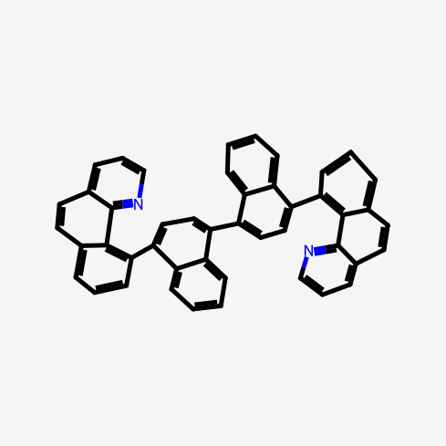 c1cnc2c(c1)ccc1cccc(-c3ccc(-c4ccc(-c5cccc6ccc7cccnc7c56)c5ccccc45)c4ccccc34)c12